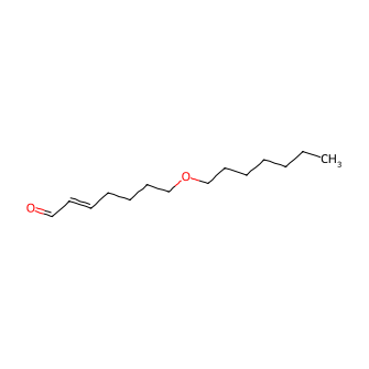 CCCCCCCOCCCC/C=C/C=O